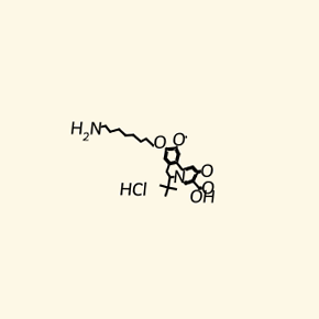 COc1cc2c(cc1OCCCCCCCCN)CC(C(C)(C)C)n1cc(C(=O)O)c(=O)cc1-2.Cl